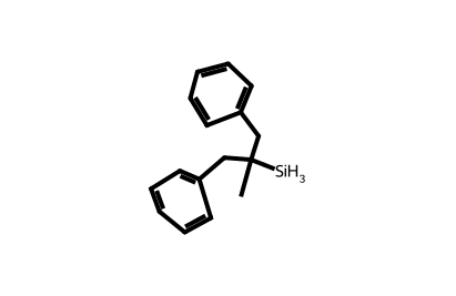 CC([SiH3])(Cc1ccccc1)Cc1ccccc1